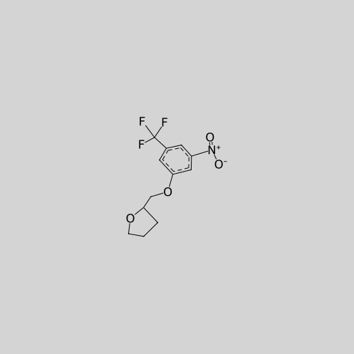 O=[N+]([O-])c1cc(OCC2CCCO2)cc(C(F)(F)F)c1